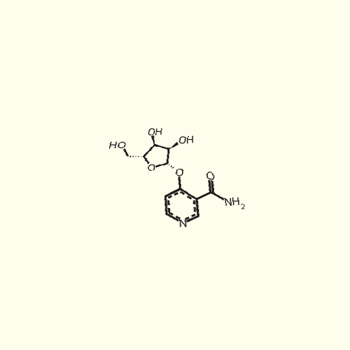 NC(=O)c1cnccc1O[C@@H]1O[C@H](CO)[C@@H](O)[C@H]1O